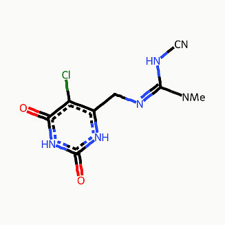 CN/C(=N/Cc1[nH]c(=O)[nH]c(=O)c1Cl)NC#N